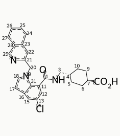 O=C(NC[C@H]1CC[C@H](C(=O)O)CC1)c1cc(Cl)cc2ccn(Cc3cc4ccccc4cn3)c12